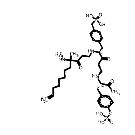 C=CCCCCCCC(C)(NC)C(=O)CCN[C@@H](Cc1ccc(CP(=O)(O)O)cc1)C(=O)CCN[C@@H](Cc1ccc(OP(=O)(O)O)cc1)C(C)=O